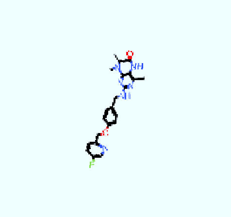 Cc1nc(NCc2ccc(OCc3ccc(F)cn3)cc2)nc2c1NC(=O)[C@H](C)N2C